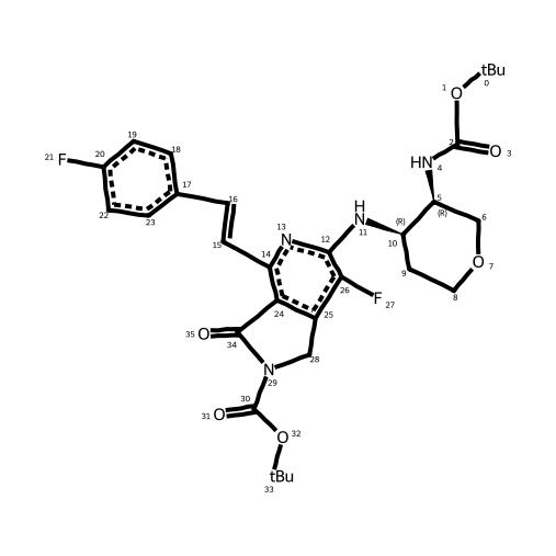 CC(C)(C)OC(=O)N[C@H]1COCC[C@H]1Nc1nc(C=Cc2ccc(F)cc2)c2c(c1F)CN(C(=O)OC(C)(C)C)C2=O